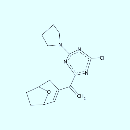 C=C(C1=CC2CCC(C1)O2)c1nc(Cl)nc(N2CCCC2)n1